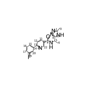 Cc1nnc(C(C)NC(=O)c2ccc(-c3cccc(F)c3)nc2)[nH]1